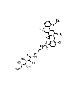 C=C/C=C(\C(=C/C)C1(OCc2cc(S(=O)(=O)NCCCCNC(=O)[C@@H](O)[C@@H](O)[C@H](O)[C@@H](O)CO)ccc2Cl)CC1)c1ccccc1OC1CC1